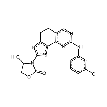 CC1COC(=O)N1c1nc2c(s1)-c1nc(Nc3cccc(Cl)c3)ncc1CC2